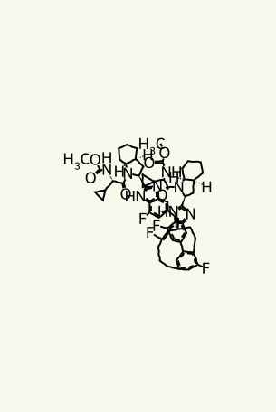 COC(=O)N[C@H](C(=O)N1[C@H](c2nc3cc(/C=C4\C=C(\F)CCCc5cc(F)c(c(-c6cc(F)c7[nH]c([C@@H]8C[C@@H]9CCCC[C@@H]9N8C(=O)[C@@H](NC(=O)OC)C8CC8)nc7c6)c5)CC4)cc(F)c3[nH]2)C[C@@H]2CCCC[C@@H]21)C1CC1